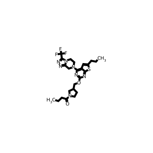 CCCC(=O)N1CCC(COc2nc(N3CCn4c(nnc4C(F)(F)F)C3)c3cc(CCC)sc3n2)C1